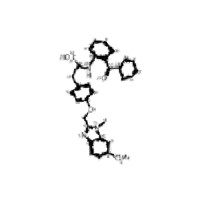 COc1ccc2nc(COc3ccc(C[C@H](Nc4ccccc4C(=O)c4ccccc4)C(=O)O)cc3)n(C)c2c1